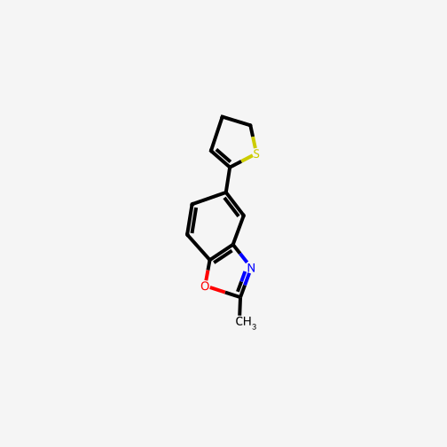 Cc1nc2cc(C3=CCCS3)ccc2o1